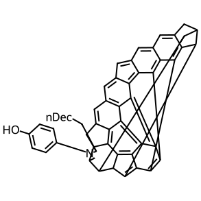 CCCCCCCCCCCC1N(c2ccc(O)cc2)CC2C3CC4Cc5cc6cc7cc8cc9cc%10c%11c(c%12c%13c%14c%15c(c5C4C=%14C%123)c6c3c7c8c4c9c%11c%13c4c%153)C21C%10